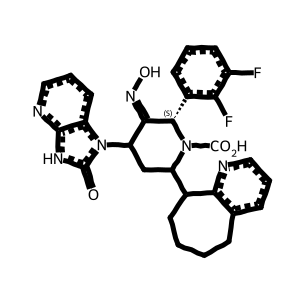 O=C(O)N1C(C2CCCCc3cccnc32)CC(n2c(=O)[nH]c3ncccc32)C(=NO)[C@@H]1c1cccc(F)c1F